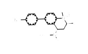 CCN(C(=O)[O-])[C@@H]1C[C@H](C)[N+](C)(C(C)=O)c2ccc(-c3ccc(C#N)cc3)cc21